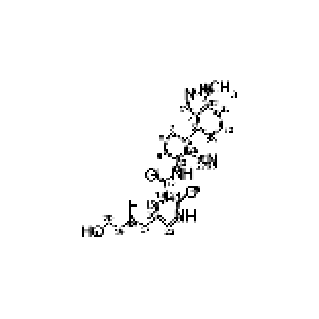 Cn1ncc2c(-c3cccc(NC(=O)c4cc(CNCCO)c[nH]c4=O)c3C#N)cccc21